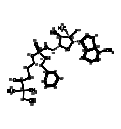 Cc1ncnn2c([C@@H]3O[C@H](COP(=O)(NCc4ccccc4)OCCSC(=O)C(C)(C)CO)[C@@H](O)[C@@]3(C)F)cnc12